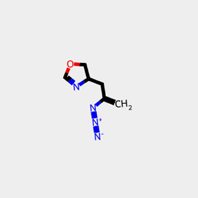 C=C(CC1COC=N1)N=[N+]=[N-]